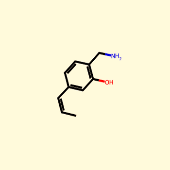 C/C=C\c1ccc(CN)c(O)c1